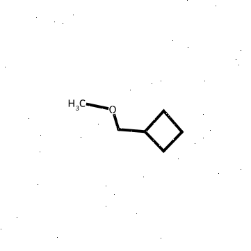 COCC1CCC1